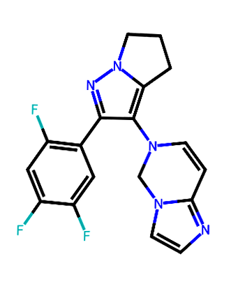 Fc1cc(F)c(-c2nn3c(c2N2C=Cc4nccn4C2)CCC3)cc1F